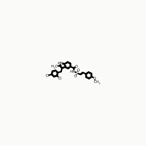 COc1ccc(C=CS(=O)(=O)NC(=O)c2ccc3[nH]c(C)c(Cc4ccc(Cl)cc4Cl)c3c2)cc1